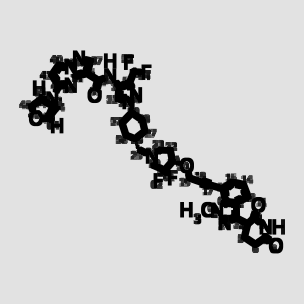 Cn1nc(C2CCC(=O)NC2=O)c2cccc(C#CCO[C@@H]3CCN(C[C@H]4CC[C@H](n5cc(NC(=O)c6cnn7ccc(N8C[C@H]9C[C@@H]8CO9)nc67)c(C(F)F)n5)CC4)CC3(F)F)c21